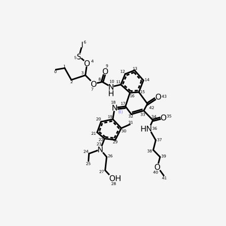 CCCC(OSI)OC(=O)Nc1cccc2c1/C(=N/c1ccc(N(CC)CCO)cc1C)C=C(C(=O)NCCCOC)C2=O